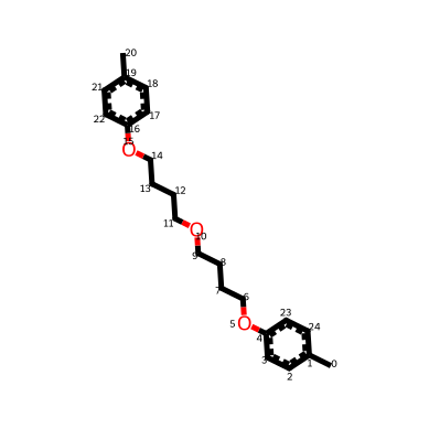 Cc1ccc(OCCCCOCCCCOc2ccc(C)cc2)cc1